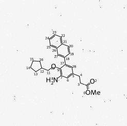 COC(=O)CCc1cc(N)c(OCC2CCCC2)c(-c2ccc3ccccc3c2)c1